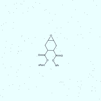 CCCCCOC(=O)C1CC2OC2CC1C(=O)OCCC